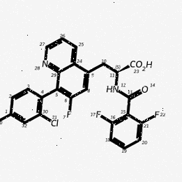 N#Cc1ccc(-c2c(F)cc(C[C@H](NC(=O)c3c(F)cccc3F)C(=O)O)c3cccnc23)c(Cl)c1